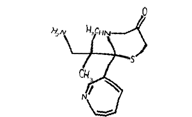 CC(C)(CN)C1(c2cccnc2)NC(=O)CS1